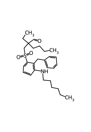 CCCCCCNc1cccc(S(=O)(=O)CC(C=O)(CC)CCCC)c1Cc1ccccc1